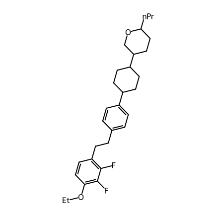 CCCC1CCC(C2CCC(c3ccc(CCc4ccc(OCC)c(F)c4F)cc3)CC2)CO1